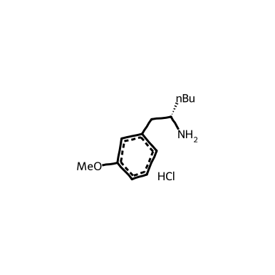 CCCC[C@H](N)Cc1cccc(OC)c1.Cl